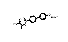 CCCCCCCCOc1ccc(-c2ccc(C(=O)OC(C)C(=O)CCCCCC)cc2)cc1